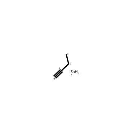 C#CCC.[SnH4]